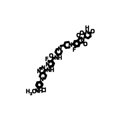 CNc1ccc(N2CCc3c(ncnc3Nc3ccc(C(=O)NC4CCN(CC5CCN(c6cc7c(cc6F)C(=O)N(C6CCC(=O)NC6=O)C7=O)CC5)CC4)c(F)n3)C2)cc1Cl